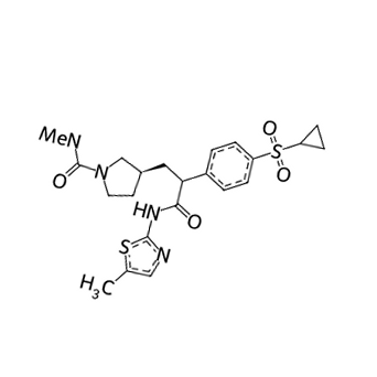 CNC(=O)N1CC[C@H](CC(C(=O)Nc2ncc(C)s2)c2ccc(S(=O)(=O)C3CC3)cc2)C1